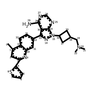 Cc1cc(-c2cccs2)nc2cc(-c3nn(C4CC(CN(C)C)C4)c4ncnc(N)c34)ccc12